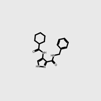 O=C(NCc1ccccc1)c1n[nH]cc1NC(=O)C1CCCCC1